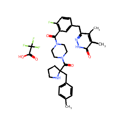 Cc1ccc(CC2(C(=O)N3CCN(C(=O)c4cc(Cc5n[nH]c(=O)c(C)c5C)ccc4F)CC3)CCCN2)cc1.O=C(O)C(F)(F)F